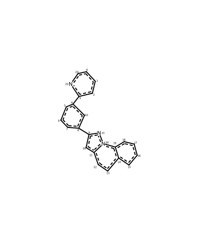 c1ccc(-c2cccc(-c3cc4ccc5ccccc5n4n3)c2)nc1